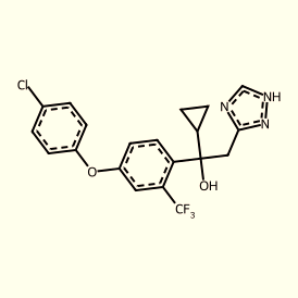 OC(Cc1nc[nH]n1)(c1ccc(Oc2ccc(Cl)cc2)cc1C(F)(F)F)C1CC1